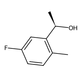 Cc1ccc(F)cc1[C@@H](C)O